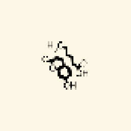 CCCCCC(=O)O.O=c1ccc2ccc(O)cc2o1